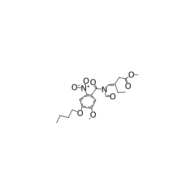 CCCCOc1cc([N+](=O)[O-])c(C(=O)N(C=O)/C=C(\CC)CC(=O)OC)cc1OC